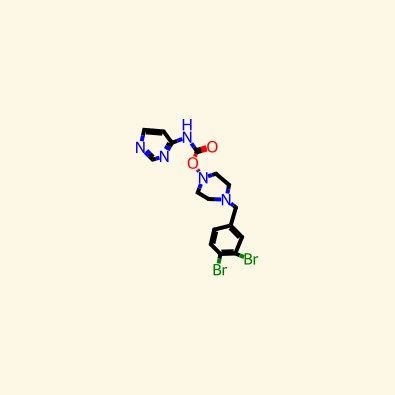 O=C(Nc1ccncn1)ON1CCN(Cc2ccc(Br)c(Br)c2)CC1